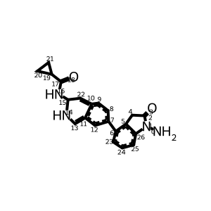 NN1C(=O)Cc2c(-c3ccc4c(c3)=CNC(NC(=O)C3CC3)C=4)cccc21